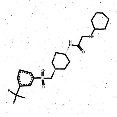 O=C(CNC1CCCCC1)N[C@H]1CC[C@H](CS(=O)(=O)c2cccc(C(F)(F)F)c2)CC1